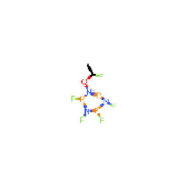 CC(F)O[n+]1pn(F)p(F)n(F)p1F